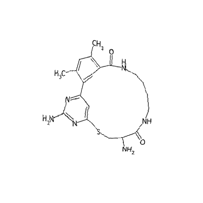 Cc1cc(C)c2cc1C(=O)NCCCCNC(=O)C(N)CSc1cc-2nc(N)n1